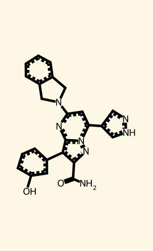 NC(=O)c1nn2c(-c3cn[nH]c3)cc(N3Cc4ccccc4C3)nc2c1-c1cccc(O)c1